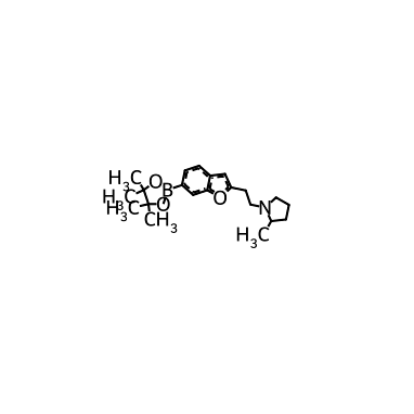 CC1CCCN1CCc1cc2ccc(B3OC(C)(C)C(C)(C)O3)cc2o1